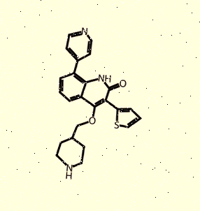 O=c1[nH]c2c(-c3ccncc3)cccc2c(OCC2CCNCC2)c1-c1cccs1